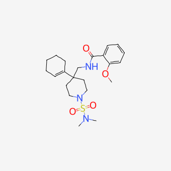 COc1ccccc1C(=O)NCC1(C2=CCCCC2)CCN(S(=O)(=O)N(C)C)CC1